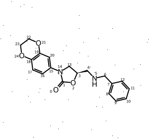 O=C1O[C@H](CNCc2ccccc2)CN1c1ccc2c(c1)OCCO2